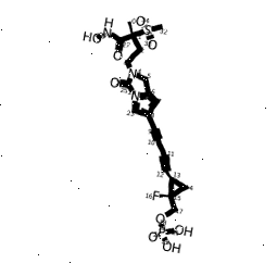 C[C@@](CCN1Cc2cc(C#CC#C[C@H]3C[C@]3(F)COP(=O)(O)O)cn2C1=O)(C(=O)NO)S(C)(=O)=O